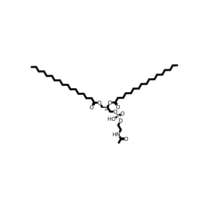 CCCCCCCCCCCCCCCCC(=O)OC[C@H](COP(=O)(O)OCCNC(C)=O)OC(=O)CCCCCCCCCCCCCCCC